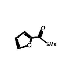 CSC(=O)c1ccco1